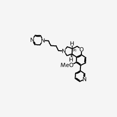 COc1c(-c2cccnc2)ccc2c1[C@@H]1CN(CCCCN3C=CN=CC3)C[C@@H]1CO2